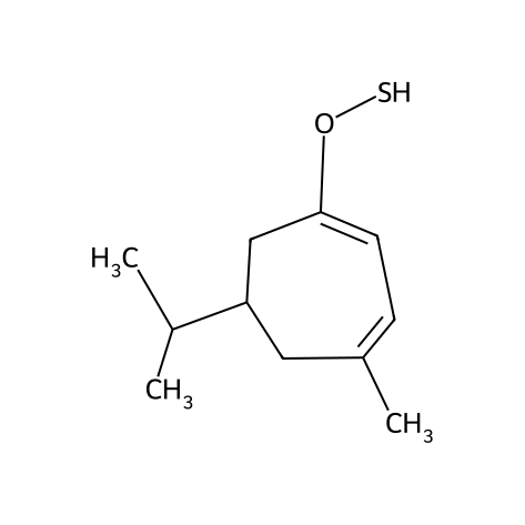 CC1=CC=C(OS)CC(C(C)C)C1